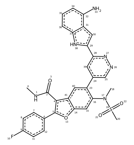 CNC(=O)c1c(-c2ccc(F)cc2)oc2cc(N(C)S(C)(=O)=O)c(-c3cnnc(-c4cc5c(N)cccc5[nH]4)c3)cc12